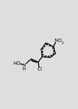 O=[N+]([O-])c1ccc(C(Cl)=CNO)cc1